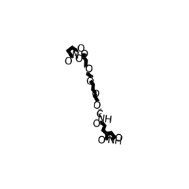 O=C1C=C(CCC(=O)NCCOCCOCCOCCOCCC(=O)ON2C(=O)CCC2=O)C(=O)N1